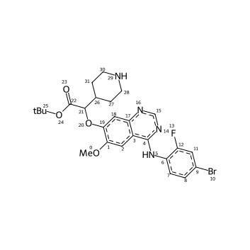 COc1cc2c(Nc3ccc(Br)cc3F)ncnc2cc1OC(C(=O)OC(C)(C)C)C1CCNCC1